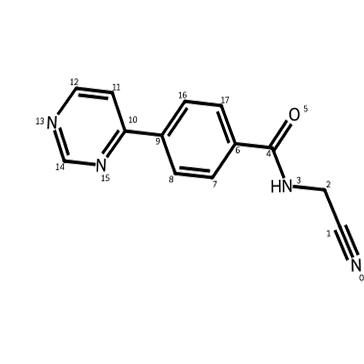 N#CCNC(=O)c1ccc(-c2ccncn2)cc1